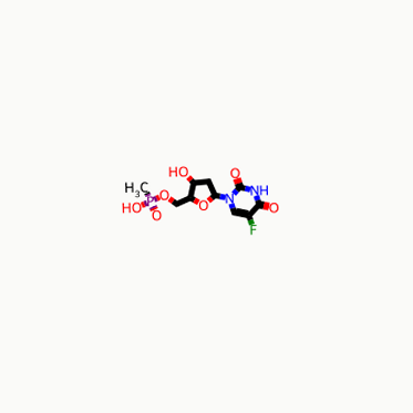 CP(=O)(O)OCC1OC(n2cc(F)c(=O)[nH]c2=O)CC1O